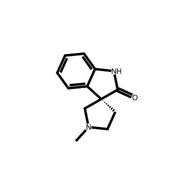 CN1CC[C@@]2(C1)C(=O)Nc1ccccc12